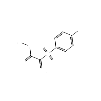 C=C(C(=O)OCCC)S(=O)(=O)c1ccc(C)cc1